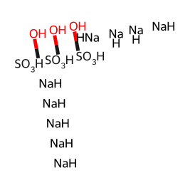 O=S(=O)(O)O.O=S(=O)(O)O.O=S(=O)(O)O.[NaH].[NaH].[NaH].[NaH].[NaH].[NaH].[NaH].[NaH].[NaH]